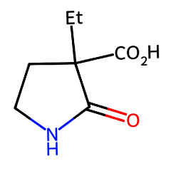 CCC1(C(=O)O)CCNC1=O